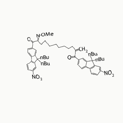 C=C(CCCCCCCC/C(=N\OC)C(=O)c1ccc2c(c1)C(CCCC)(CCCC)c1cc([N+](=O)[O-])ccc1-2)C(=O)c1ccc2c(c1)C(CCCC)(CCCC)c1cc([N+](=O)[O-])ccc1-2